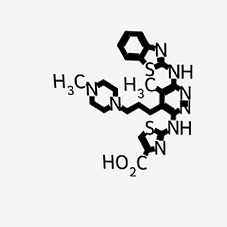 Cc1c(Nc2nc3ccccc3s2)nnc(Nc2nc(C(=O)O)cs2)c1CCCN1CCN(C)CC1